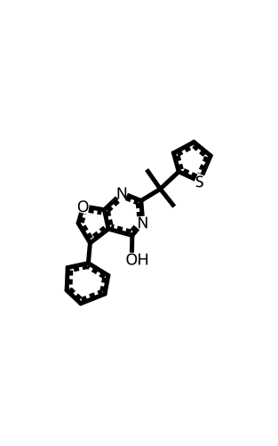 CC(C)(c1nc(O)c2c(-c3ccccc3)coc2n1)c1cccs1